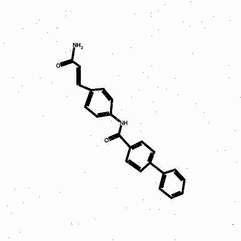 NC(=O)/C=C/c1ccc(NC(=O)c2ccc(-c3ccccc3)cc2)cc1